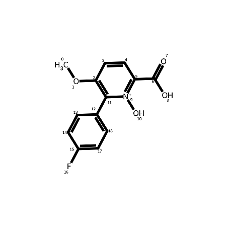 COc1ccc(C(=O)O)[n+](O)c1-c1ccc(F)cc1